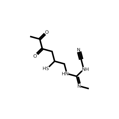 CN=C(NC#N)NCC(S)CC(=O)C(C)=O